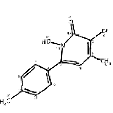 CCc1c(C)cc(-c2ccc(C)cc2)n(O)c1=O